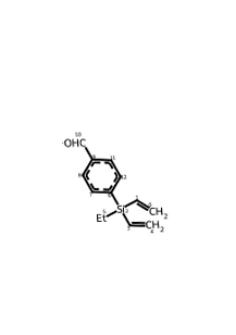 C=C[Si](C=C)(CC)c1ccc([C]=O)cc1